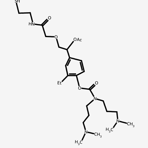 CCc1cc(C(COCC(=O)NCCS)OC(C)=O)ccc1OC(=O)N(CCCN(C)C)CCCN(C)C